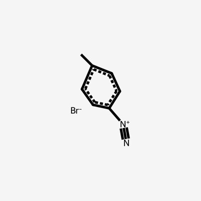 Cc1ccc([N+]#N)cc1.[Br-]